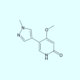 COc1cc(=O)[nH]cc1-c1cnn(C)c1